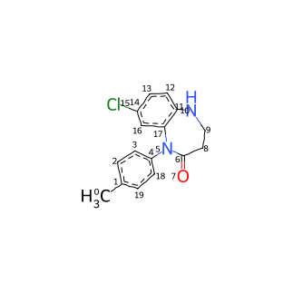 Cc1ccc(N2C(=O)CCNc3ccc(Cl)cc32)cc1